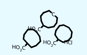 Cl.O=C(O)C1CCCCCCCCC1.O=C(O)C1CCCCCCCCC1.O=C(O)C1CCCCCCCCC1